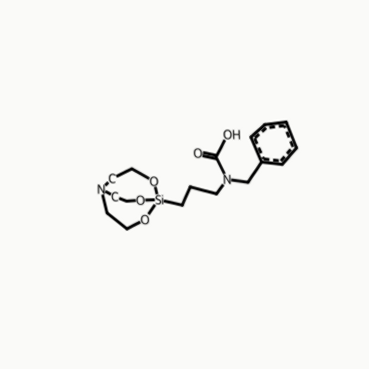 O=C(O)N(CCC[Si]12OCCN(CCO1)CCO2)Cc1ccccc1